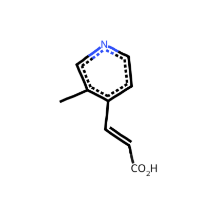 Cc1cnccc1C=CC(=O)O